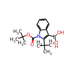 CC(C)(C)OC(=O)n1c(C(C)(C)C)c(B(O)O)c2ccccc21